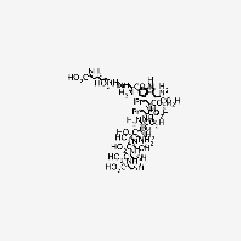 CC(C)C[C@H](N)C(=O)O.CC(C)C[C@H](N)C(=O)O.CC(C)C[C@H](N)C(=O)O.CC[C@H](C)[C@H](N)C(=O)O.NCC(=O)O.NCC(=O)O.NCC(=O)O.NCCCC[C@H](N)C(=O)O.N[C@@H](CO)C(=O)O.N[C@@H](CS)C(=O)O.N[C@@H](CS)C(=O)O.N[C@@H](Cc1c[nH]c2ccccc12)C(=O)O